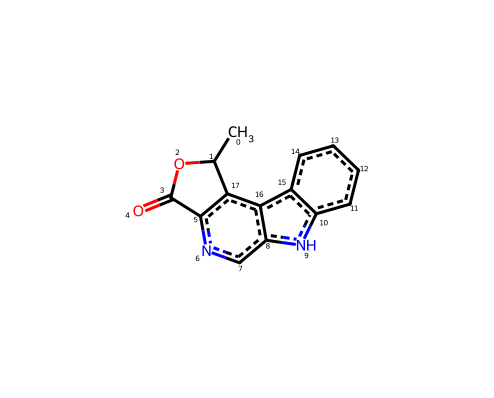 CC1OC(=O)c2ncc3[nH]c4ccccc4c3c21